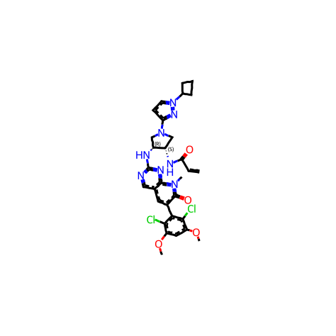 C=CC(=O)N[C@H]1CN(c2ccn(C3CCC3)n2)C[C@H]1Nc1ncc2cc(-c3c(Cl)c(OC)cc(OC)c3Cl)c(=O)n(C)c2n1